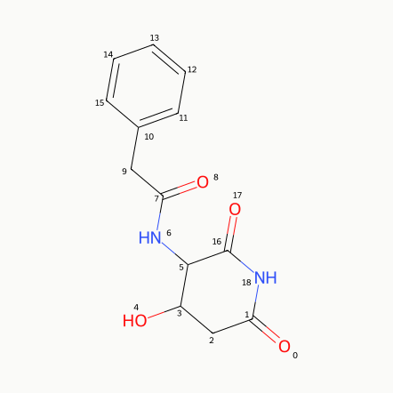 O=C1CC(O)C(NC(=O)Cc2ccccc2)C(=O)N1